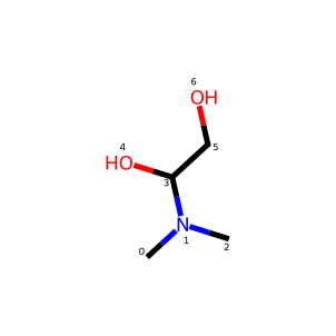 CN(C)C(O)CO